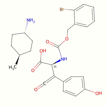 C[C@H]1CC[C@H](N)CC1.O=C=C(c1ccc(O)cc1)[C@H](NC(=O)OCc1ccccc1Br)C(=O)O